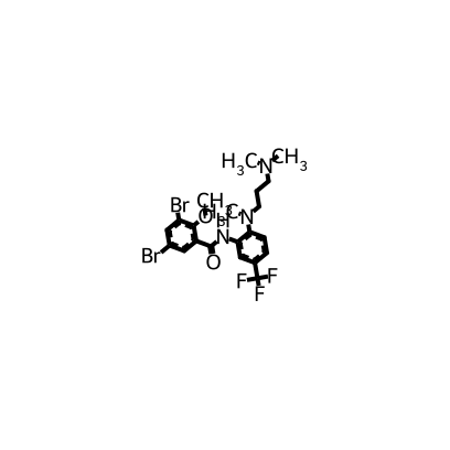 COc1c(Br)cc(Br)cc1C(=O)Nc1cc(C(F)(F)F)ccc1N(C)CCCN(C)C